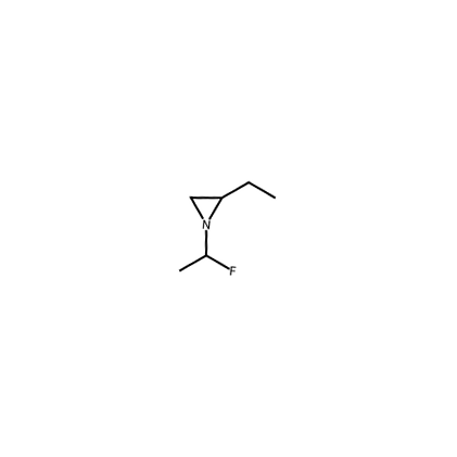 CCC1CN1C(C)F